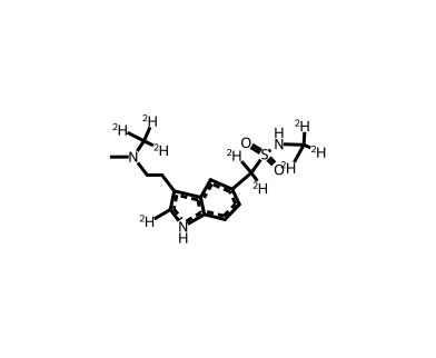 [2H]c1[nH]c2ccc(C([2H])([2H])S(=O)(=O)NC([2H])([2H])[2H])cc2c1CCN(C)C([2H])([2H])[2H]